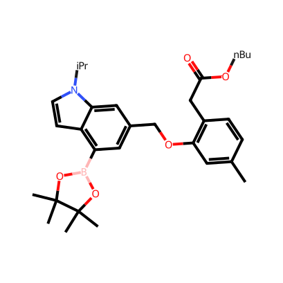 CCCCOC(=O)Cc1ccc(C)cc1OCc1cc(B2OC(C)(C)C(C)(C)O2)c2ccn(C(C)C)c2c1